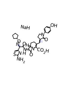 Nc1nc(/C(=N/OC2CCCC2)C(=O)N[C@@H]2C(=O)N3C(C(=O)O)=C(/C=C4\CCN(c5ccc(O)cc5)C4=O)CC[C@H]23)cs1.[NaH]